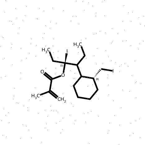 C=C(C)C(=O)O[C@](I)(CC)C(CC)C1CCCC[C@H]1CI